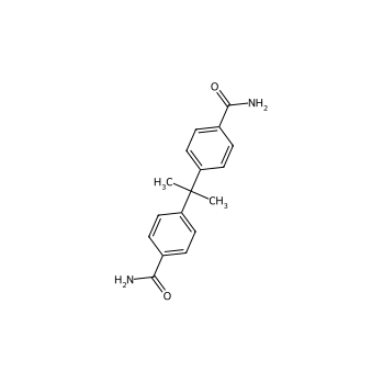 CC(C)(c1ccc(C(N)=O)cc1)c1ccc(C(N)=O)cc1